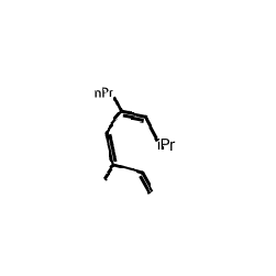 [CH2]CCC(C=C(C)C=C)=CC(C)C